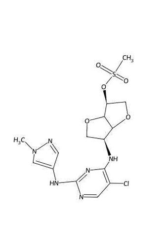 Cn1cc(Nc2ncc(Cl)c(N[C@H]3COC4C3OC[C@@H]4OS(C)(=O)=O)n2)cn1